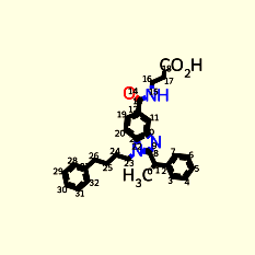 CC(c1ccccc1)c1nc2cc(C(=O)NCCC(=O)O)ccc2n1CCCCc1ccccc1